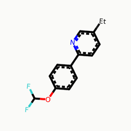 CCc1ccc(-c2ccc(OC(F)F)cc2)nc1